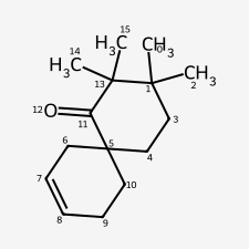 CC1(C)CCC2(CC=CCC2)C(=O)C1(C)C